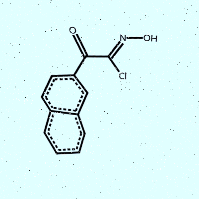 O=C(/C(Cl)=N/O)c1ccc2ccccc2c1